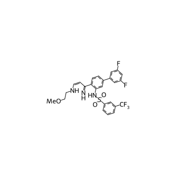 COCCN/C=C\C(=N)c1ccc(-c2cc(F)cc(F)c2)cc1NS(=O)(=O)c1cccc(C(F)(F)F)c1